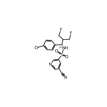 N#Cc1cncc(S(=O)(=O)N[C@H](c2ccc(Cl)cc2)C(CF)CF)c1